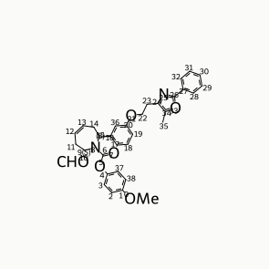 COc1ccc(OC(=O)N2[C@H](C=O)CC=CC[C@H]2c2cccc(OCCc3nc(-c4ccccc4)oc3C)c2)cc1